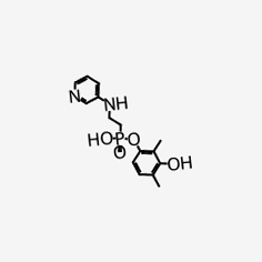 Cc1ccc(OP(=O)(O)CCNc2cccnc2)c(C)c1O